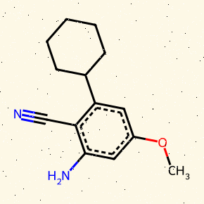 COc1cc(N)c(C#N)c(C2CCCCC2)c1